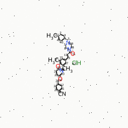 Cc1ccc(CN2CCN(C(=O)C=Cc3cc(C)c(Oc4ccc(OCc5ccc(C#N)cc5)cn4)c(C)c3)CC2)cc1.Cl